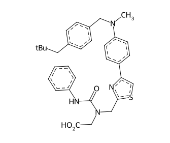 CN(Cc1ccc(CC(C)(C)C)cc1)c1ccc(-c2csc(CN(CC(=O)O)C(=O)Nc3ccccc3)n2)cc1